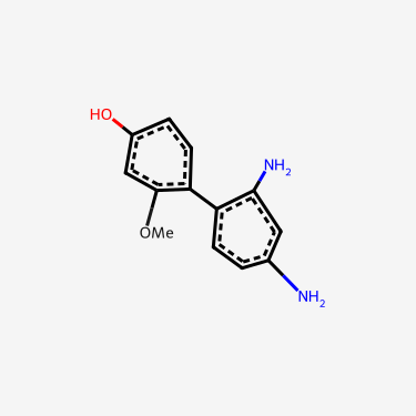 COc1cc(O)ccc1-c1ccc(N)cc1N